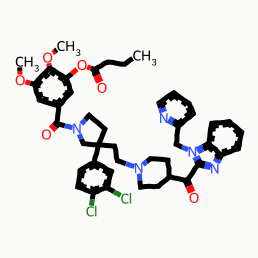 CCCC(=O)Oc1cc(C(=O)N2CCC(CCN3CCC(C(=O)c4nc5ccccc5n4Cc4ccccn4)CC3)(c3ccc(Cl)c(Cl)c3)C2)cc(OC)c1OC